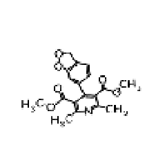 COC(=O)c1c(C)nc(C)c(C(=O)OC)c1-c1ccc2c(c1)OOC2